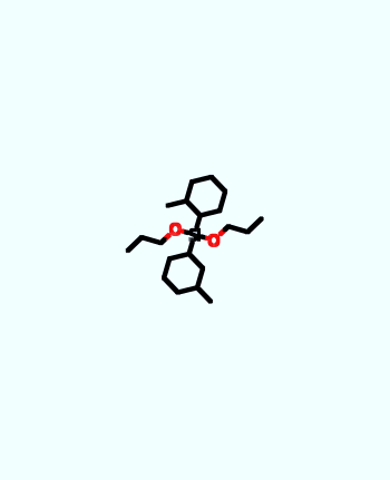 CCCO[Si](OCCC)(C1CCCC(C)C1)C1CCCCC1C